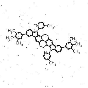 Cc1ccnc(-n2c3ccc(-c4cc(C)c(C)c(C)c4)cc3c3cc4c5c(c32)CCc2cc3c6cc(-c7cc(C)c(C)c(C)c7)ccc6n(-c6cc(C)ccn6)c3c(c2-5)CC4)c1